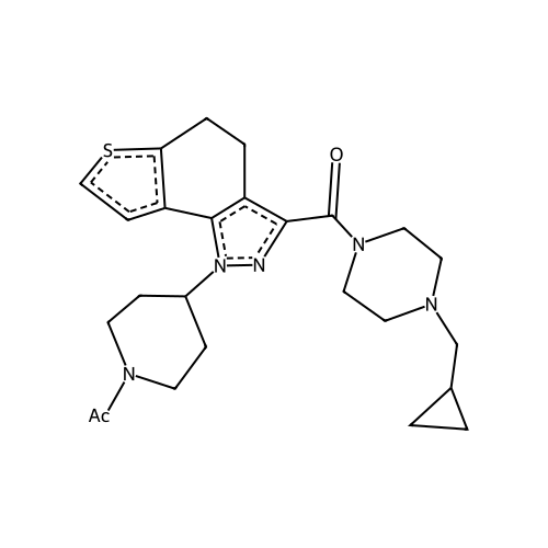 CC(=O)N1CCC(n2nc(C(=O)N3CCN(CC4CC4)CC3)c3c2-c2ccsc2CC3)CC1